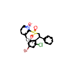 Cc1ccc[n+]([O-])c1S(=O)(=O)CC(c1ccccc1)c1ccc(Br)cc1Cl